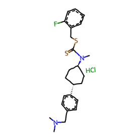 CN(C)Cc1ccc([C@H]2CC[C@H](N(C)C(=S)SCc3ccccc3F)CC2)cc1.Cl